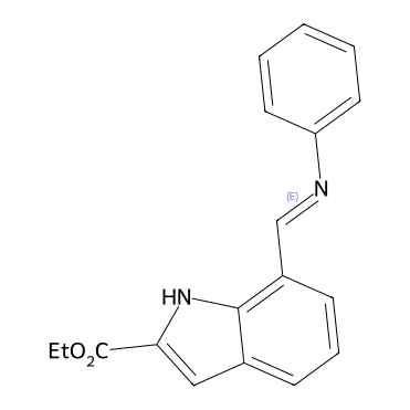 CCOC(=O)c1cc2cccc(/C=N/c3ccccc3)c2[nH]1